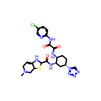 CN1CC=C2NC(C(=O)N[C@@H]3C[C@@H](n4cnnn4)CC[C@@H]3NC(=O)C(=O)Nc3ccc(Cl)cn3)SC2C1